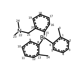 Cc1cccc[c]1[Bi]([c]1ccccc1C)[c]1ccccc1CN(C)C